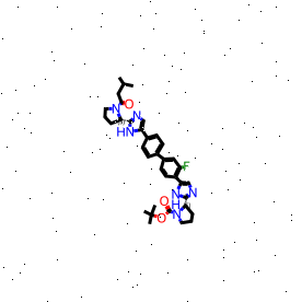 CC(C)CC(=O)N1CCC[C@H]1c1ncc(-c2ccc(-c3ccc(-c4cnc([C@@H]5CCCN5C(=O)OC(C)(C)C)[nH]4)c(F)c3)cc2)[nH]1